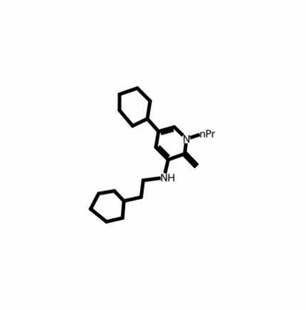 C=C1C(NCCC2CCCCC2)=CC(C2CCCCC2)=CN1CCC